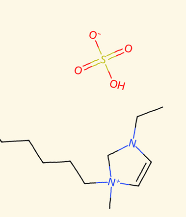 CCCCCC[N+]1(C)C=CN(CC)C1.O=S(=O)([O-])O